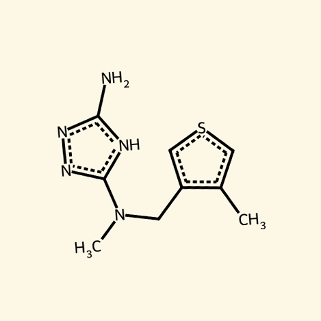 Cc1cscc1CN(C)c1nnc(N)[nH]1